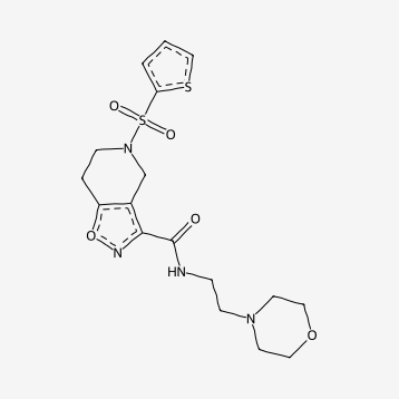 O=C(NCCN1CCOCC1)c1noc2c1CN(S(=O)(=O)c1cccs1)CC2